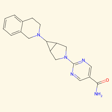 NC(=O)c1cnc(N2CC3C(C2)C3N2CCc3ccccc3C2)nc1